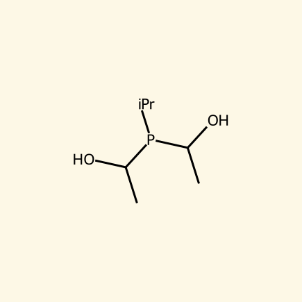 CC(C)P(C(C)O)C(C)O